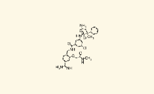 CNC(=O)COc1cc(C(=N)N)ccc1CNC(=O)c1cc(Cl)cc(NS(=O)(=O)C(C)(CC(N)=O)c2ccccc2)c1